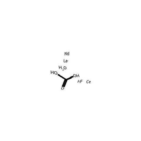 F.O.O=C(O)O.[Ce].[La].[Nd]